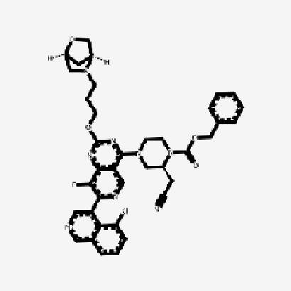 N#CC[C@H]1CN(c2nc(OCCCN3C[C@@H]4C[C@H]3CO4)nc3c(F)c(-c4cncc5cccc(Cl)c45)ncc23)CCN1C(=O)OCc1ccccc1